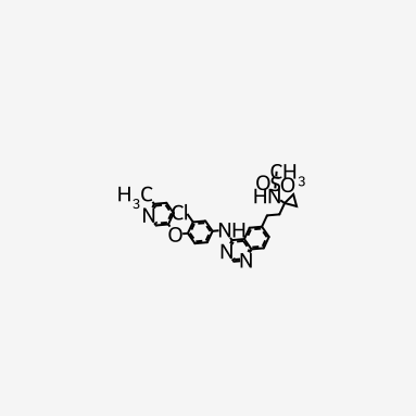 Cc1ccc(Oc2ccc(Nc3ncnc4ccc(CCC5(NS(C)(=O)=O)CC5)cc34)cc2Cl)cn1